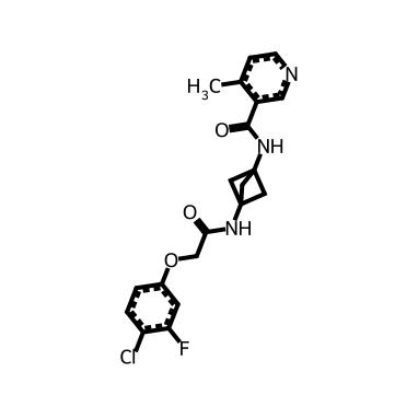 Cc1ccncc1C(=O)NC12CC(NC(=O)COc3ccc(Cl)c(F)c3)(C1)C2